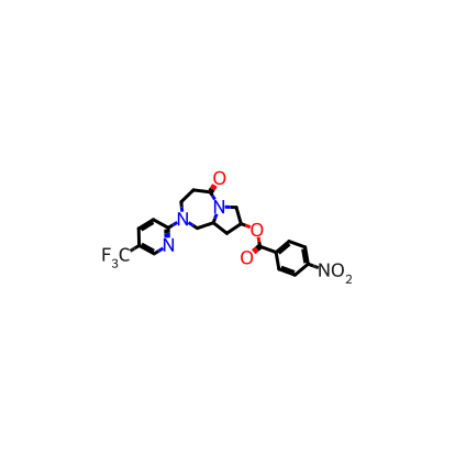 O=C(OC1CC2CN(c3ccc(C(F)(F)F)cn3)CCC(=O)N2C1)c1ccc([N+](=O)[O-])cc1